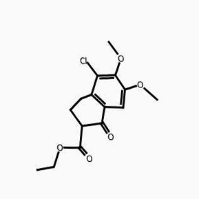 CCOC(=O)C1CCc2c(cc(OC)c(OC)c2Cl)C1=O